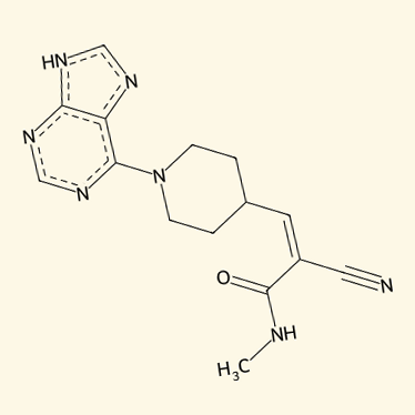 CNC(=O)C(C#N)=CC1CCN(c2ncnc3[nH]cnc23)CC1